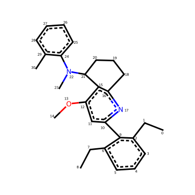 CCc1cccc(CC)c1-c1cc(OC)c2c(n1)CCCC2N(C)c1ccccc1C